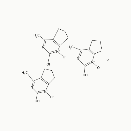 Cc1nc(O)[n+]([O-])c2c1CCC2.Cc1nc(O)[n+]([O-])c2c1CCC2.Cc1nc(O)[n+]([O-])c2c1CCC2.[Fe]